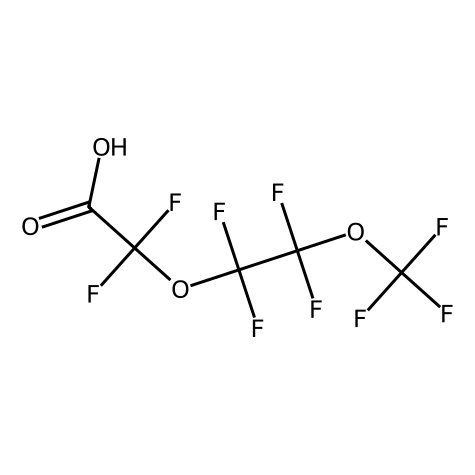 O=C(O)C(F)(F)OC(F)(F)C(F)(F)OC(F)(F)F